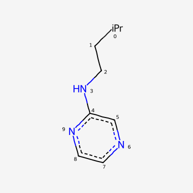 CC(C)CCNc1cnccn1